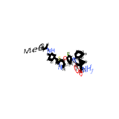 COCC(C)NCc1ccc(-c2cc3nccc(Oc4ccc(N(C(=O)C5(C(N)=O)CC5)c5ccccc5)cc4F)c3s2)cc1